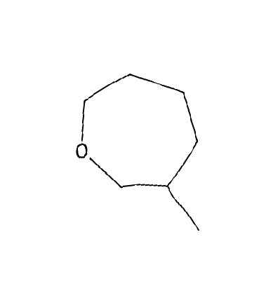 CC1CCCCOC1